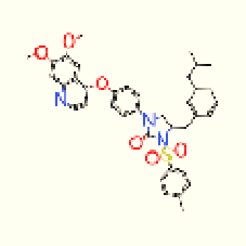 COc1cc2nc#cc(Oc3ccc(N4CC(CC5=CC(CC(C)C)CC=C5)N(S(=O)(=O)c5ccc(C)cc5)C4=O)cc3)c2cc1OC